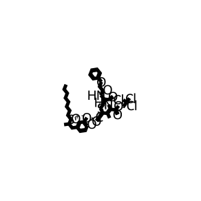 CC1=C(C(=O)OCC(Cl)(Cl)Cl)N2C(=O)C(NC(=O)COc3ccccc3)[C@H]2SC1=C=O.CCCCCCCC[S+]([O-])C(C)Cc1ccc2c(c1)OCO2